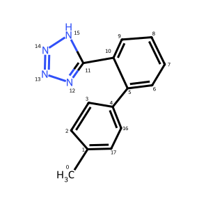 Cc1ccc(-c2ccccc2-c2nnn[nH]2)cc1